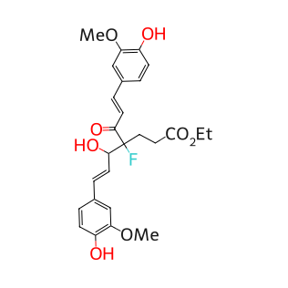 CCOC(=O)CCC(F)(C(=O)/C=C/c1ccc(O)c(OC)c1)C(O)/C=C/c1ccc(O)c(OC)c1